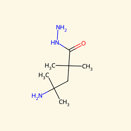 CC(C)(N)CC(C)(C)C(=O)NN